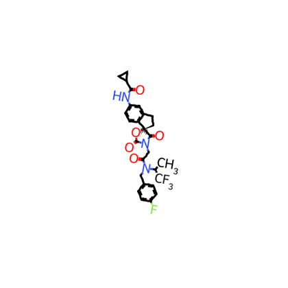 CC(N(Cc1ccc(F)cc1)C(=O)CN1C(=O)O[C@@]2(CCc3cc(NC(=O)C4CC4)ccc32)C1=O)C(F)(F)F